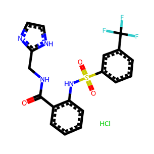 Cl.O=C(NCc1ncc[nH]1)c1ccccc1NS(=O)(=O)c1cccc(C(F)(F)F)c1